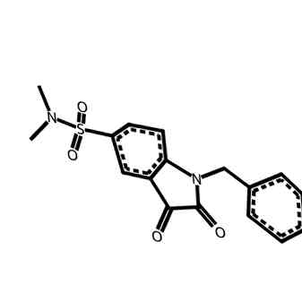 CN(C)S(=O)(=O)c1ccc2c(c1)C(=O)C(=O)N2Cc1ccccc1